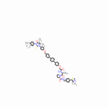 Cc1ncsc1-c1ccc(CNC(=O)[C@@H]2CCCN2C(=O)C(NC(=O)COc2ccc(-c3ccc(-c4ccc(COc5ccc(N6C(=S)N(c7ccc(C#N)c(C(F)(F)F)c7)C(=O)C6(C)C)cc5)cc4)cc3)cc2)C(C)(C)C)cc1